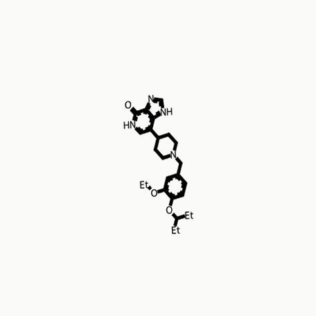 CCOc1cc(CN2CCC(c3c[nH]c(=O)c4nc[nH]c34)CC2)ccc1OC(CC)CC